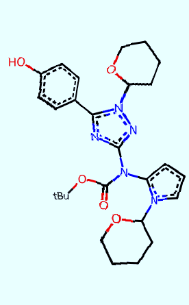 CC(C)(C)OC(=O)N(c1nc(-c2ccc(O)cc2)n(C2CCCCO2)n1)c1cccn1C1CCCCO1